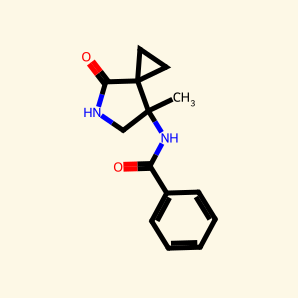 CC1(NC(=O)c2ccccc2)CNC(=O)C12CC2